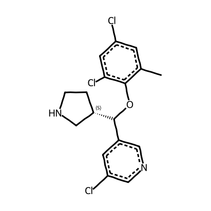 Cc1cc(Cl)cc(Cl)c1OC(c1cncc(Cl)c1)[C@H]1CCNC1